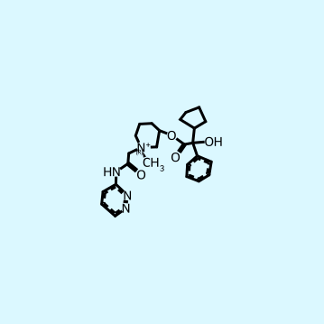 C[N@@+]1(CC(=O)Nc2cccnn2)CCCC(OC(=O)C(O)(c2ccccc2)C2CCCC2)C1